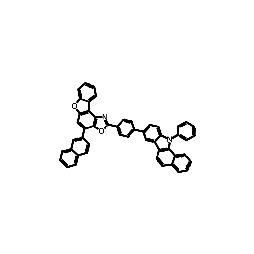 c1ccc(-n2c3ccc(-c4ccc(-c5nc6c(o5)c(-c5ccc7ccccc7c5)cc5oc7ccccc7c56)cc4)cc3c3ccc4ccccc4c32)cc1